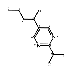 CCCC(C)c1cnc(C(C)C)nc1